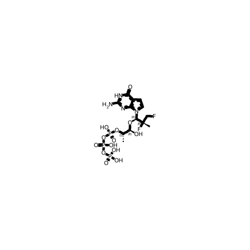 C[C@H](OP(=O)(O)OP(=O)(O)OP(=O)(O)O)[C@H](O)O[C@@H](n1ccc2c(=O)[nH]c(N)nc21)[C@@](C)(F)CF